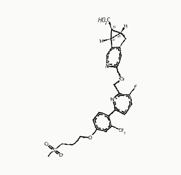 CS(=O)(=O)CCCOc1ccc(-c2ccc(F)c(COc3cc4c(cn3)[C@H]3[C@@H](C4)[C@@H]3C(=O)O)n2)c(C(F)(F)F)c1